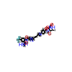 CCCC(C(=O)NC=O)N(C=O)C(=O)c1ccc(N2CC(C#Cc3cnn(C(C)(C)C(=O)Nc4ccc(C(F)(F)F)cc4C(=O)NC)c3)C2)cc1C